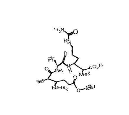 CSC(C(=O)O)C(CCCNC(N)=O)NC(=O)[C@@H](NC(=O)C(SC)C(CCC(=O)OC(C)(C)C)NC(C)=O)C(C)C